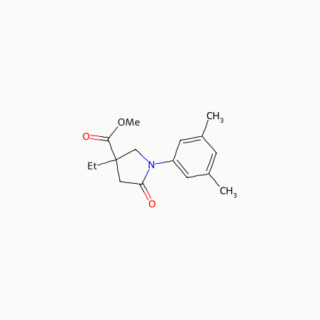 CCC1(C(=O)OC)CC(=O)N(c2cc(C)cc(C)c2)C1